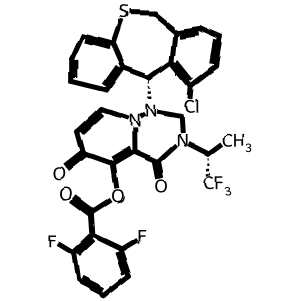 C[C@@H](N1CN([C@@H]2c3ccccc3SCc3cccc(Cl)c32)n2ccc(=O)c(OC(=O)c3c(F)cccc3F)c2C1=O)C(F)(F)F